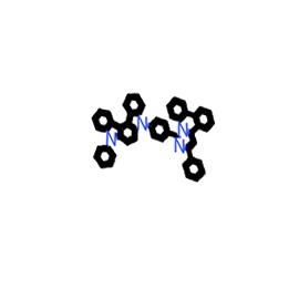 c1ccc(-c2cc(-c3ccccc3-c3ccccc3)nc(-c3ccc(-n4c5ccccc5c5c6c7ccccc7n(-c7ccccc7)c6ccc54)cc3)n2)cc1